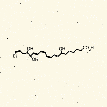 CC/C=C\CC(O)[C@](C)(O)/C=C/C=C\C=C/C=C/C(O)CCCCCC(=O)O